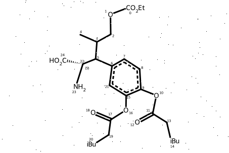 CCOC(=O)OCC(C)C(c1ccc(OC(=O)CC(C)CC)c(OC(=O)CC(C)CC)c1)[C@H](N)C(=O)O